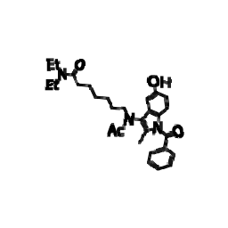 CCN(CC)C(=O)CCCCCCN(C(C)=O)c1c(C)n(C(=O)c2ccccc2)c2ccc(O)cc12